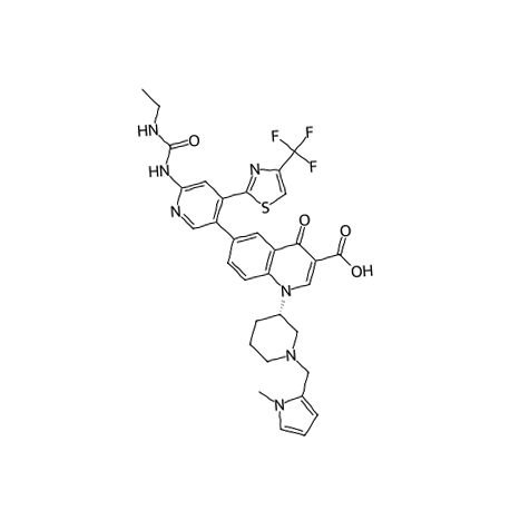 CCNC(=O)Nc1cc(-c2nc(C(F)(F)F)cs2)c(-c2ccc3c(c2)c(=O)c(C(=O)O)cn3[C@H]2CCCN(Cc3cccn3C)C2)cn1